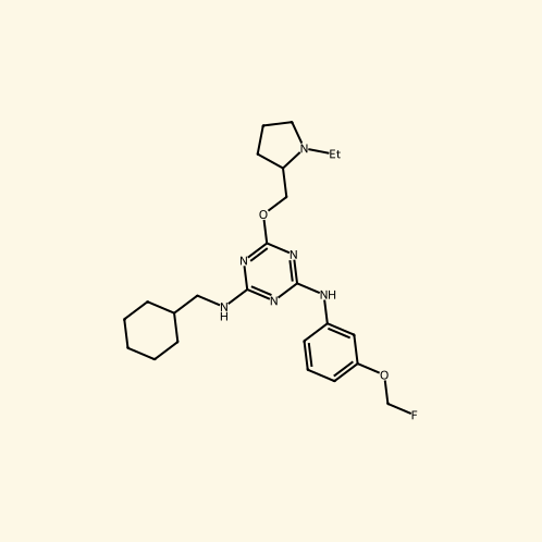 CCN1CCCC1COc1nc(NCC2CCCCC2)nc(Nc2cccc(OCF)c2)n1